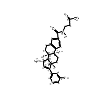 C[C@]12CC[C@@H]3c4ccc(C(=O)N(I)CCC(=O)O)cc4CC[C@H]3[C@@H]1[C@H](O)C=C2c1cncc(F)c1